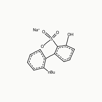 CCCCc1ccccc1-c1cccc(O)c1S(=O)(=O)[O-].[Na+]